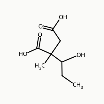 CCC(O)C(C)(CC(=O)O)C(=O)O